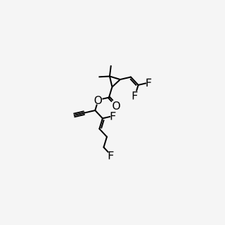 C#CC(OC(=O)C1C(C=C(F)F)C1(C)C)C(F)=CCCF